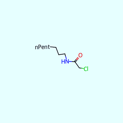 CCCCCCCCNC(=O)CCl